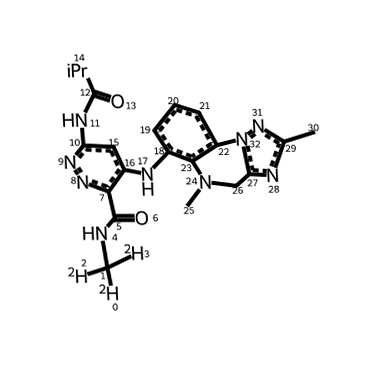 [2H]C([2H])([2H])NC(=O)c1nnc(NC(=O)C(C)C)cc1Nc1cccc2c1N(C)Cc1nc(C)nn1-2